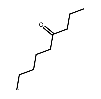 [CH2]CCCCC(=O)CCC